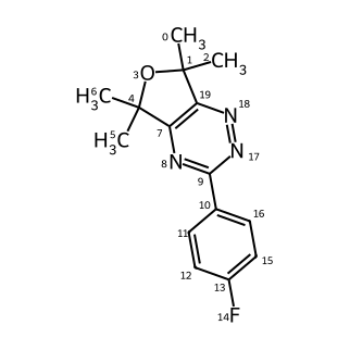 CC1(C)OC(C)(C)c2nc(-c3ccc(F)cc3)nnc21